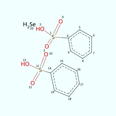 O=S(=O)(O)c1ccccc1.O=S(=O)(O)c1ccccc1.[SeH2]